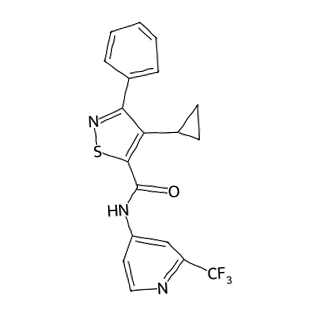 O=C(Nc1ccnc(C(F)(F)F)c1)c1snc(-c2ccccc2)c1C1CC1